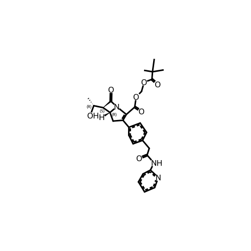 C[C@@H](O)[C@H]1C(=O)N2C(C(=O)OCOC(=O)C(C)(C)C)=C(c3ccc(CC(=O)Nc4ccccn4)cc3)C[C@H]12